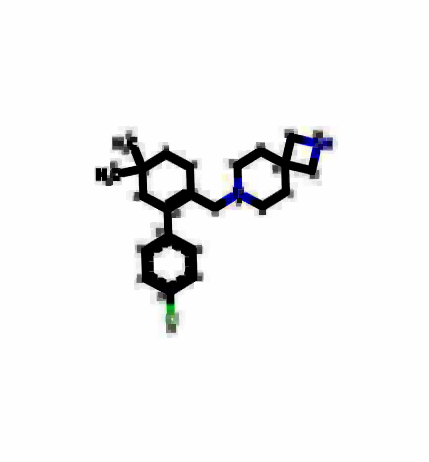 CC1(C)CCC(CN2CCC3(CC2)CNC3)=C(c2ccc(Cl)cc2)C1